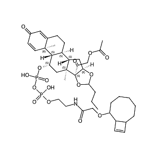 CCCC1O[C@@H]2C[C@H]3[C@@H]4CCC5=CC(=O)C=C[C@]5(C)[C@H]4[C@@H](OP(=O)(O)OP(=O)(O)OCCNC(=O)COC4CCCCCC5C=CC54)C[C@]3(C)[C@]2(C(=O)COC(C)=O)O1